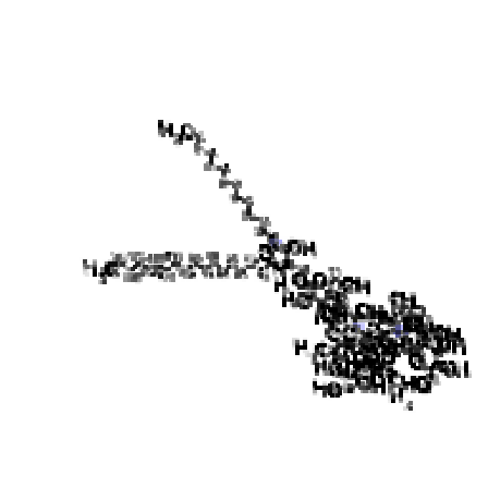 CCCCCCCCCCCCC/C=C/[C@H](O)[C@@H](CO[C@@H]1OC(CO)[C@@H](O[C@H](O)/C(O)=C(\O[C@]2(C(=O)C(C)C)CC(O)[C@@H](NC(C)=O)C([C@H](O)[C@H](O)CO)O2)[C@H](CCO)O[C@H](O)/C(NC(C)=O)=C(\O[C@@H]2OC(CO)[C@H](O)C(O)C2O)[C@@H](O)CCO)C(O)C1O)NC(=O)CCCCCCCCCCCCCCCCC